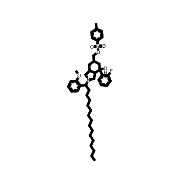 CCCCCCCCCCCCCCCC(c1ccccc1OC)N1CC2CC(COS(=O)(=O)c3ccc(C)cc3)CC(O)(c3ccccc3F)C2C1